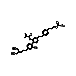 C=C(C)C(=O)Oc1cc(CCc2ccc(CCCOC(=O)C(C)(C)C)cc2)ccc1-c1ccc(CCCC(CO)CO)cc1CC